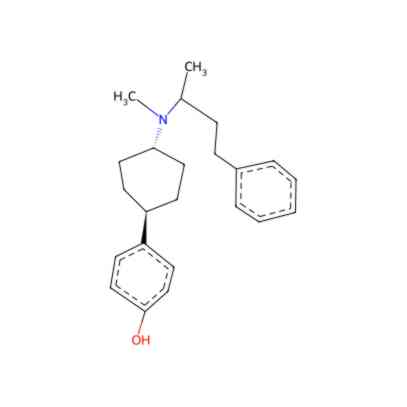 CC(CCc1ccccc1)N(C)[C@H]1CC[C@H](c2ccc(O)cc2)CC1